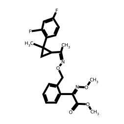 CON=C(C(=O)OC)c1ccccc1CON=C(C)C1CC1(C)c1ccc(F)cc1F